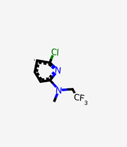 CN(CC(F)(F)F)c1cc[c]c(Cl)n1